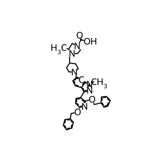 CC1CN(C(=O)O)CCN1CC1CCN(c2ccc3c(-c4ccc(OCc5ccccc5)nc4OCc4ccccc4)nn(C)c3c2)CC1